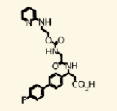 O=C(O)CC(NC(=O)CNC(=O)OCCNc1ccccn1)c1ccc(-c2ccc(F)cc2)cc1